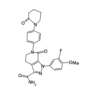 COc1ccc(-n2nc(C(N)=O)c3c2C(=O)N(c2ccc(N4CCCCC4=O)cc2)CC3)cc1F